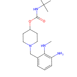 CNc1c(N)cccc1CN1CCC(OC(=O)NC(C)(C)C)CC1